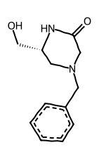 O=C1CN(Cc2ccccc2)C[C@H](CO)N1